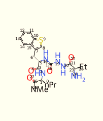 CCC[C@H](NC(=O)[C@H](Cc1csc2ccccc12)NC(=O)NNC(=O)[C@H](N)CC)C(=O)NC